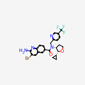 Nc1nc2ccc(C(=O)N(Cc3ccc(C(F)(F)F)cn3)[C@@H]3CCO[C@@H]3C3CC3)cc2cc1Br